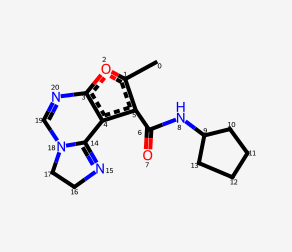 Cc1oc2c(c1C(=O)NC1CCCC1)C1=NCCN1C=N2